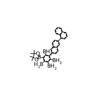 Bc1c(B)c(B2OC(C)(C)C(C)(C)O2)c(B)c(-c2ccc3cc(-c4cccc5ccccc45)ccc3c2)c1B